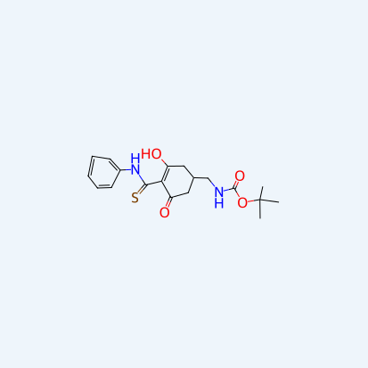 CC(C)(C)OC(=O)NCC1CC(=O)C(C(=S)Nc2ccccc2)=C(O)C1